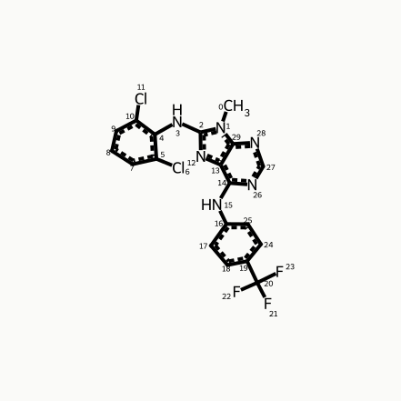 Cn1c(Nc2c(Cl)cccc2Cl)nc2c(Nc3ccc(C(F)(F)F)cc3)ncnc21